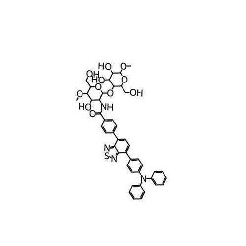 COC1OC(CO)C(OC2OC(CO)C(OC)C(O)C2NC(=O)c2ccc(-c3ccc(-c4ccc(N(c5ccccc5)c5ccccc5)cc4)c4nsnc34)cc2)C(O)C1O